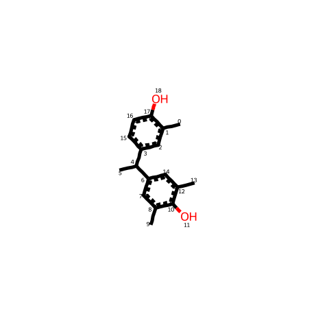 Cc1cc(C(C)c2cc(C)c(O)c(C)c2)ccc1O